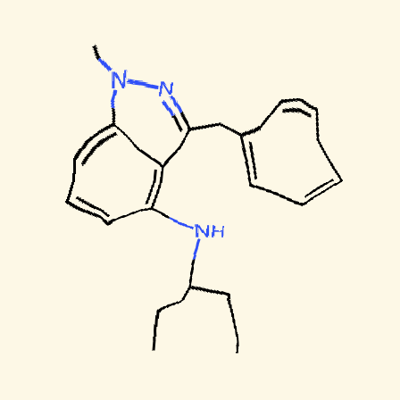 CCC(CC)Nc1cccc2c1c(-c1ccccc1)nn2C